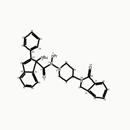 CCCCC1(C(=O)N(CCC)N2CCC(N3Cc4ccccc4C3=O)CC2)C(c2ccccc2)=Cc2ccccc21